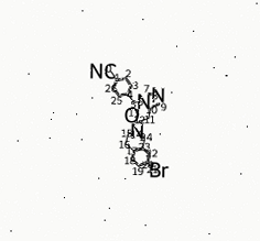 N#Cc1ccc(Cn2cncc2CC(=O)N2CCc3ccc(Br)cc3C2)cc1